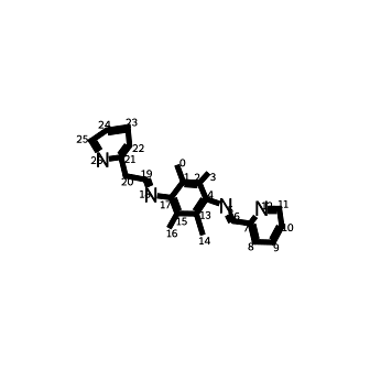 Cc1c(C)c(N=Cc2ccccn2)c(C)c(C)c1N=CCc1ccccn1